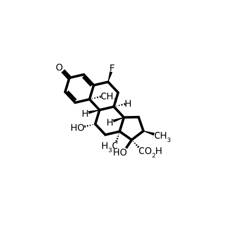 C[C@@H]1C[C@H]2[C@@H]3C[C@H](F)C4=CC(=O)C=C[C@]4(C)[C@H]3[C@@H](O)C[C@]2(C)[C@@]1(O)C(=O)O